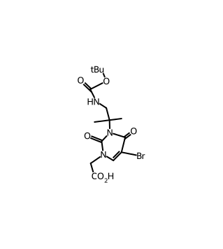 CC(C)(C)OC(=O)NCC(C)(C)n1c(=O)c(Br)cn(CC(=O)O)c1=O